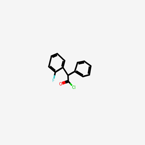 O=C(Cl)C(c1ccccc1)c1ccccc1F